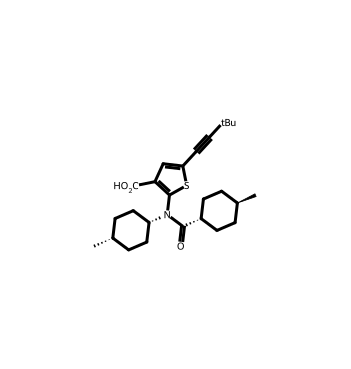 CC(C)(C)C#Cc1cc(C(=O)O)c(N(C(=O)[C@H]2CC[C@H](C)CC2)[C@H]2CC[C@@H](C)CC2)s1